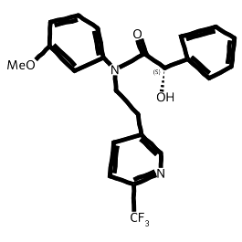 COc1cccc(N(CCc2ccc(C(F)(F)F)nc2)C(=O)[C@@H](O)c2ccccc2)c1